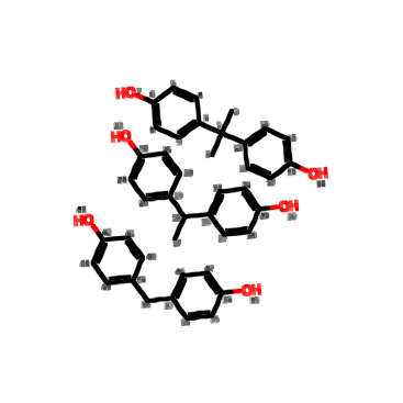 CC(C)(c1ccc(O)cc1)c1ccc(O)cc1.CC(c1ccc(O)cc1)c1ccc(O)cc1.Oc1ccc(Cc2ccc(O)cc2)cc1